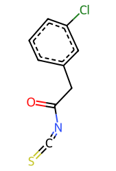 O=C(Cc1cccc(Cl)c1)N=C=S